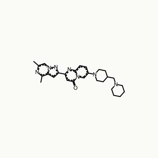 Cc1cn2nc(-c3cc(=O)n4cc(N5CCC(CN6CCCCC6)CC5)ccc4n3)cc2c(C)n1